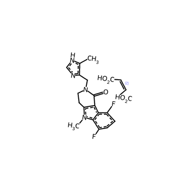 Cc1[nH]cnc1CN1CCc2c(c3c(F)ccc(F)c3n2C)C1=O.O=C(O)/C=C\C(=O)O